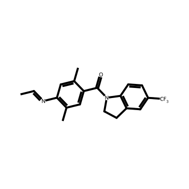 C/C=N/c1cc(C)c(C(=O)N2CCc3cc(C(F)(F)F)ccc32)cc1C